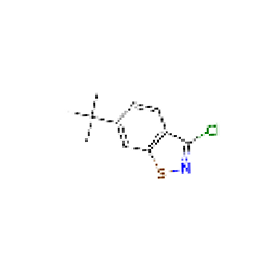 CC(C)(C)c1ccc2c(Cl)nsc2c1